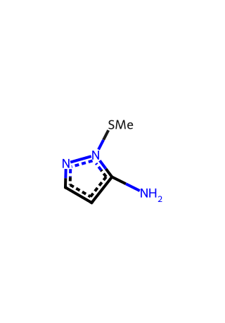 CSn1nccc1N